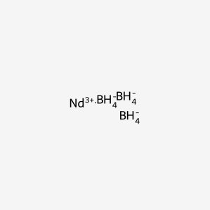 [BH4-].[BH4-].[BH4-].[Nd+3]